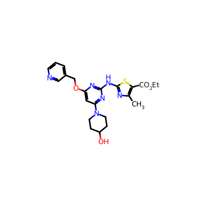 CCOC(=O)c1sc(Nc2nc(OCc3cccnc3)cc(N3CCC(O)CC3)n2)nc1C